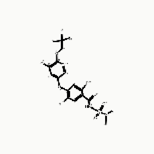 CN(C)S(=O)(=O)NC(=O)c1cc(F)c(Oc2cnc(OCC(C)(C)F)c(Cl)c2)cc1F